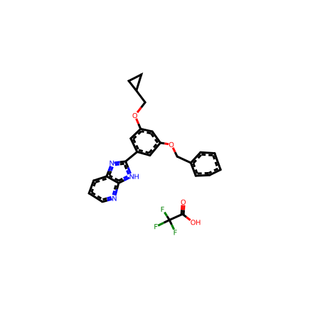 O=C(O)C(F)(F)F.c1ccc(COc2cc(OCC3CC3)cc(-c3nc4cccnc4[nH]3)c2)cc1